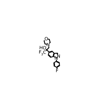 OC(CN1CCOCC1)(c1ccc2c(cnn2-c2ccc(F)cc2)c1)C(F)(F)F